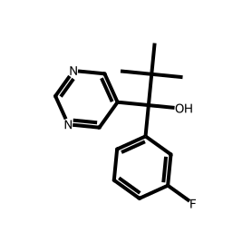 CC(C)(C)C(O)(c1cncnc1)c1cccc(F)c1